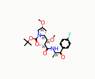 CO[C@@H]1C[C@H]([C@H](OC)[C@@H](C)C(=O)N[C@H](C)C(=O)c2ccc(F)cc2)N(C(=O)OC(C)(C)C)C1